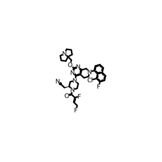 N#CC[C@H]1CN(c2nc(OCC34CCCN3CCC4)nc3c2CCN(c2cccc4ccc(F)c(Cl)c24)C3)CCN1C(=O)/C(F)=C/CF